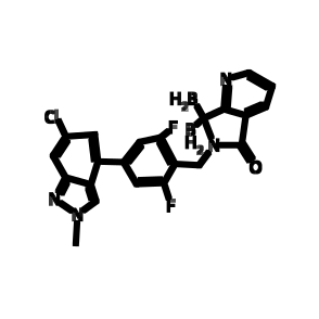 BC1(B)c2ncccc2C(=O)N1Cc1c(F)cc(-c2cc(Cl)cc3nn(C)cc23)cc1F